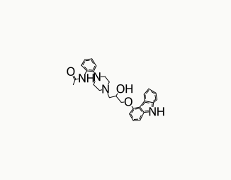 CC(=O)Nc1ccccc1N1CCN(CC(O)COc2cccc3[nH]c4ccccc4c23)CC1